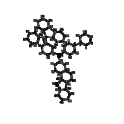 c1ccc(-c2ccc(N(c3cccc(C4(c5ccccc5)c5ccccc5-c5ccccc54)c3)c3ccc4c(ccc5c6ccccc6sc45)c3)cc2)cc1